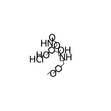 CCOc1ccc(CC(C)(C)NCC(O)c2cc(O)cc3c2OCC(=O)N3)cc1.Cl